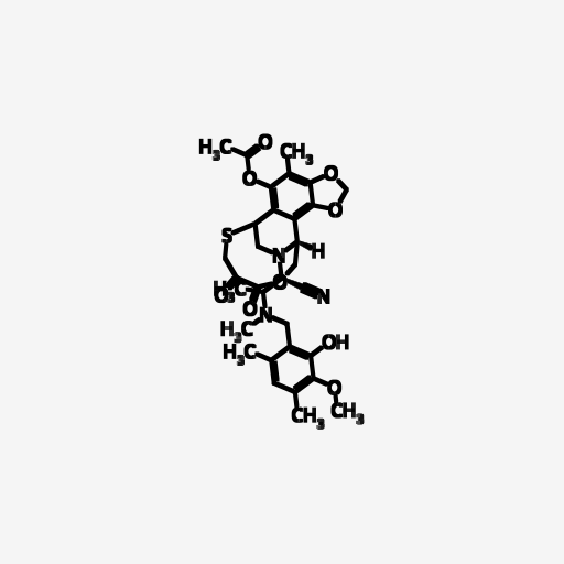 COc1c(C)cc(C)c(CN(C)C(C)[C@H](C#N)N2CC3SCC(=O)C(=O)OC[C@H]2c2c4c(c(C)c(OC(C)=O)c23)OCO4)c1O